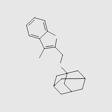 Cc1c(CNC23CC4CC(CC(C4)C2)C3)sc2ccccc12